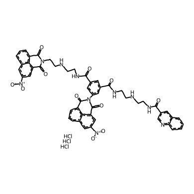 Cl.Cl.Cl.O=C(NCCNCCNC(=O)c1cnc2ccccc2c1)c1cc(C(=O)NCCNCCN2C(=O)c3cccc4cc([N+](=O)[O-])cc(c34)C2=O)cc(N2C(=O)c3cccc4cc([N+](=O)[O-])cc(c34)C2=O)c1